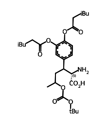 CCC(C)CC(=O)Oc1ccc(C(CC(C)OC(=O)OC(C)(C)C)[C@H](N)C(=O)O)cc1OC(=O)CC(C)CC